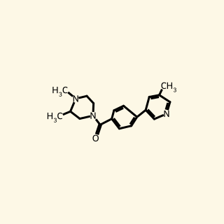 Cc1cncc(-c2ccc(C(=O)N3CCN(C)C(C)C3)cc2)c1